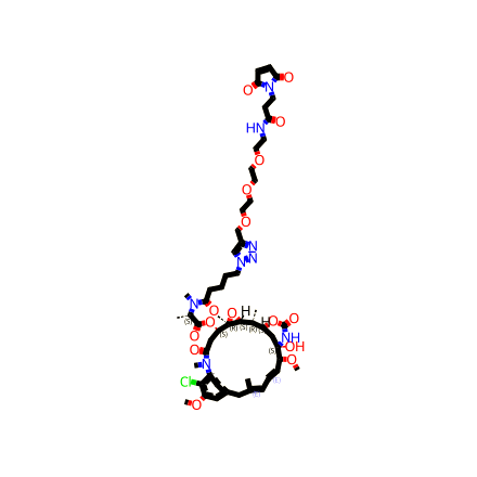 COc1cc2cc(c1Cl)N(C)C(=O)C[C@H](OC(=O)[C@H](C)N(C)C(=O)CCCCn1cc(COCCOCCOCCNC(=O)CCN3C(=O)C=CC3=O)nn1)[C@@]1(C)O[C@H]1[C@H](C)[C@@H]1C[C@@](O)(NC(=O)O1)C(OC)/C=C/C=C(\C)C2